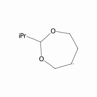 CC(C)C1OC[CH]CCO1